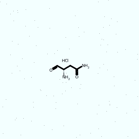 Cl.NC(=O)C[C@H](N)C=O